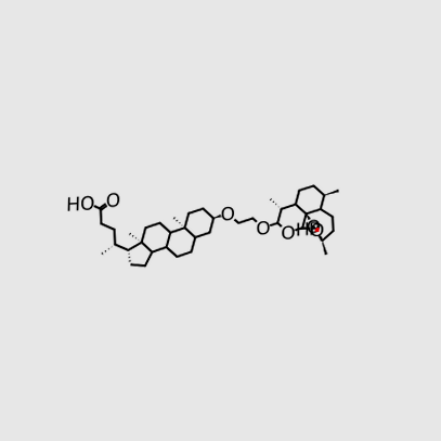 C[C@H]1C(OCCO[C@@H]2CC[C@@]3(C)C(CCC4C3CC[C@@]3(C)C4CC[C@@H]3[C@H](C)CCC(=O)O)C2)OC2O[C@]3(C)CCC4[C@H](C)CCC1[C@@]24OP3